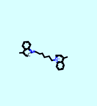 Cc1cc[n+](CCCCCC[n+]2ccc(C)c3ccccc32)c2ccccc12